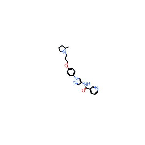 C[C@@H]1CCCN1CCCOc1ccc(-n2cc(NC(=O)c3cccnc3)cn2)cc1